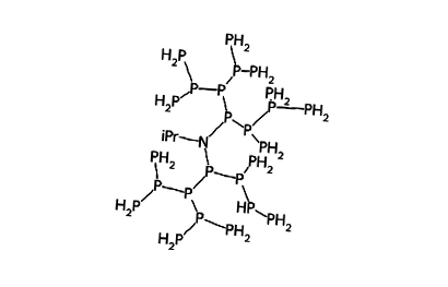 CC(C)N(P(P(P)PP)P(P(P)P)P(P)P)P(P(P)P(P)P)P(P(P)P)P(P)P